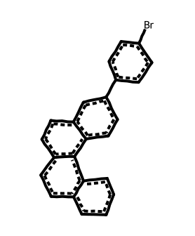 Brc1ccc(-c2ccc3c(ccc4ccc5ccccc5c43)c2)cc1